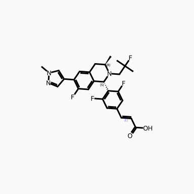 C[C@@H]1Cc2cc(-c3cnn(C)c3)c(F)cc2[C@@H](c2c(F)cc(/C=C/C(=O)O)cc2F)N1CC(C)(C)F